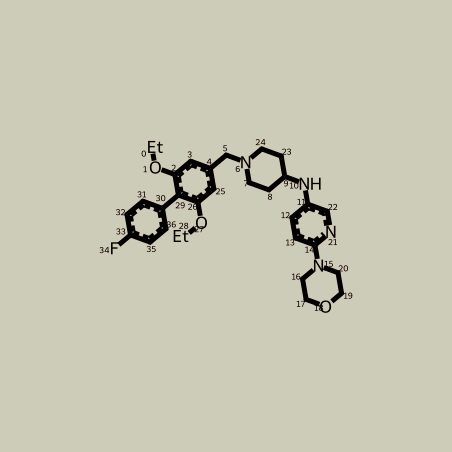 CCOc1cc(CN2CCC(Nc3ccc(N4CCOCC4)nc3)CC2)cc(OCC)c1-c1ccc(F)cc1